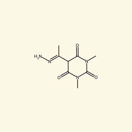 CC(=NN)C1C(=O)N(C)C(=O)N(C)C1=O